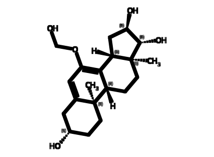 C[C@]12CC[C@H]3C(=C(OCO)C=C4C[C@@H](O)CC[C@@]43C)[C@@H]1C[C@@H](O)[C@@H]2O